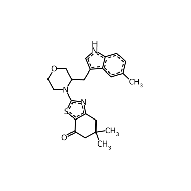 Cc1ccc2[nH]cc(CC3COCCN3c3nc4c(s3)C(=O)CC(C)(C)C4)c2c1